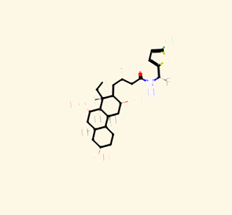 CC[C@@H](NC(=O)C[C@@H](C)[C@H]1CC[C@H]2[C@@H]3[C@H](O)C[C@@H]4C[C@H](O)CC[C@]4(C)[C@H]3C[C@H](O)[C@]12C)c1ccc(Cl)s1